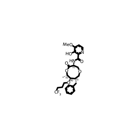 COc1ccnc(C(=O)N[C@H]2COC[C@H](Cc3ccccc3)[C@@H](OCCCC(F)(F)F)[C@H](C)OC2=O)c1O